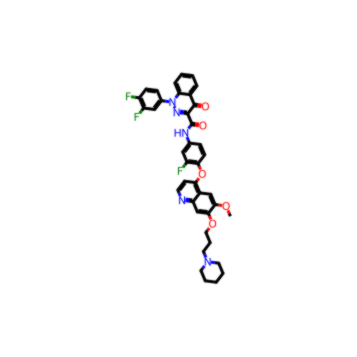 COc1cc2c(Oc3ccc(NC(=O)c4nn(-c5ccc(F)c(F)c5)c5ccccc5c4=O)cc3F)ccnc2cc1OCCCN1CCCCC1